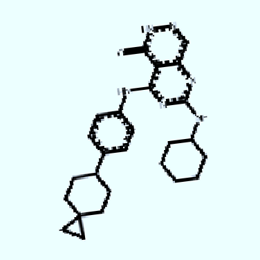 O=c1[nH]ncc2nc(NC3CCCCC3)nc(Nc3ccc(C4CCC5(CC4)CC5)cc3)c12